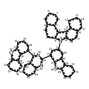 c1ccc2c(c1)ccc1c2c2c3ccccc3ccc2n1-c1cc(-c2nc(-c3cccc4oc5ccccc5c34)c3ccccc3n2)c2sc3ccccc3c2c1